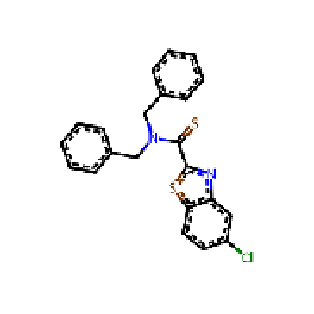 S=C(c1nc2cc(Cl)ccc2s1)N(Cc1ccccc1)Cc1ccccc1